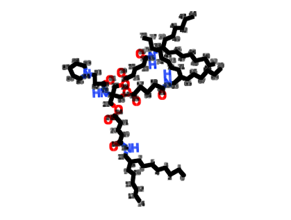 CCCCCCCCC(CCCCCC)CNC(=O)CCCC(=O)OCC(COC(=O)CCCC(=O)NCC(CCCCCC)CCCCCCCC)(COC(=O)CCCC(=O)NCC(CCCCCC)CCCCCCCC)NC(=O)CCN1CCCCC1